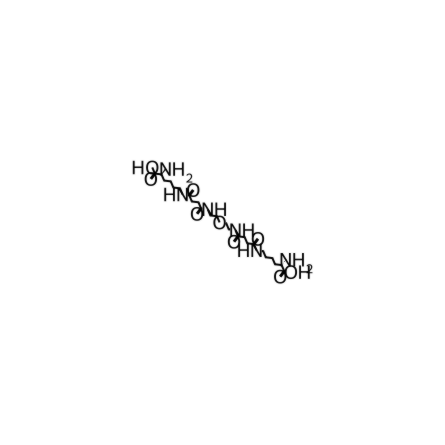 N[C@@H](CCCCNC(=O)CCC(=O)NCCOCCNC(=O)CCC(=O)NCCCC[C@H](N)C(=O)O)C(=O)O